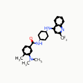 Cc1ccc(C(=O)N[C@H]2CC[C@@H](Nc3cc(C(F)(F)F)nc4ccccc34)CC2)cc1N(C)C